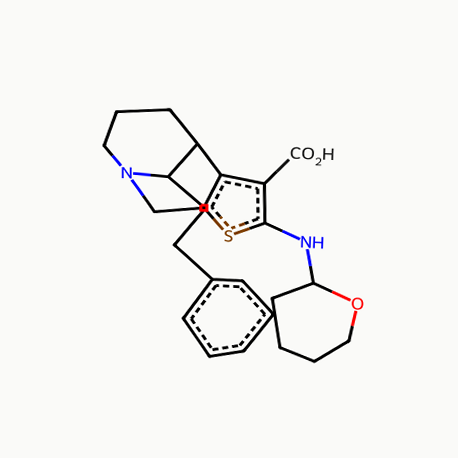 O=C(O)c1c(NC2CCCCO2)sc2c1C1CCCN(C2)C1CCc1ccccc1